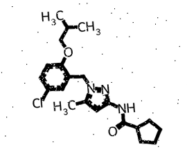 Cc1cc(NC(=O)C2CCCC2)nn1Cc1cc(Cl)ccc1OCC(C)C